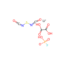 O=C(O)C(=O)O.O=C=NSN=C=O.O=P([O-])(O)F.[Li+]